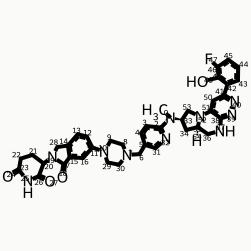 CN(c1ccc(CN2CCN(c3ccc4c(c3)C(=O)N(C3CCC(=O)NC3=O)C4)CC2)cn1)[C@@H]1C[C@@H]2CNc3nnc(-c4cccc(F)c4O)cc3N2C1